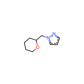 c1cnn(CC2CCCCO2)c1